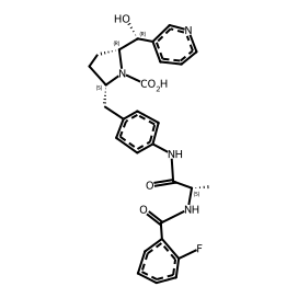 C[C@H](NC(=O)c1ccccc1F)C(=O)Nc1ccc(C[C@@H]2CC[C@H]([C@H](O)c3cccnc3)N2C(=O)O)cc1